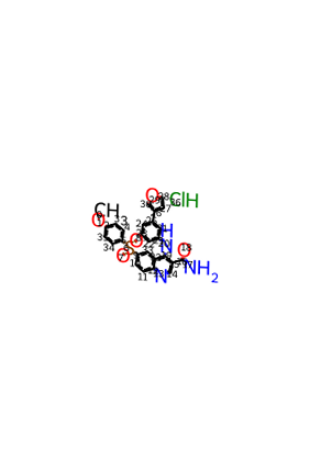 COc1ccc(S(=O)(=O)c2ccc3ncc(C(N)=O)c(Nc4cccc(-c5ccoc5)c4)c3c2)cc1.Cl